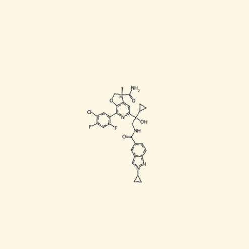 C[C@]1(C(N)=O)COc2c1cc(C(O)(CNC(=O)c1ccc3nn(C4CC4)cc3c1)C1CC1)nc2-c1cc(Cl)c(F)cc1F